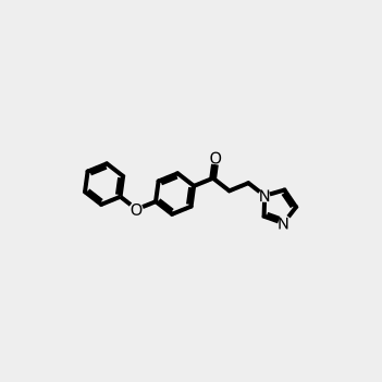 O=C(CCn1ccnc1)c1ccc(Oc2ccccc2)cc1